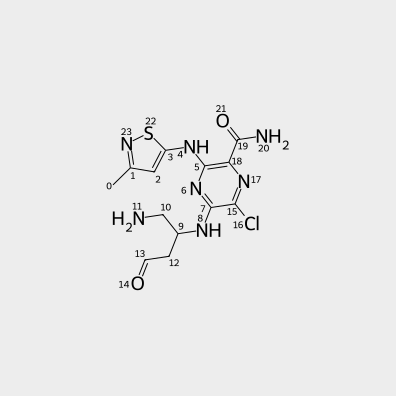 Cc1cc(Nc2nc(NC(CN)CC=O)c(Cl)nc2C(N)=O)sn1